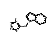 c1ccc2c(c1)ccn2Cc1nnn[nH]1